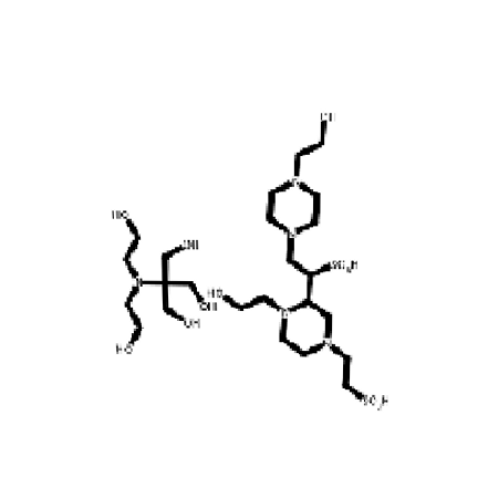 O=S(=O)(O)CCN1CCN(CCO)C(C(CN2CCN(CCO)CC2)S(=O)(=O)O)C1.OCCN(CCO)C(CO)(CO)CO